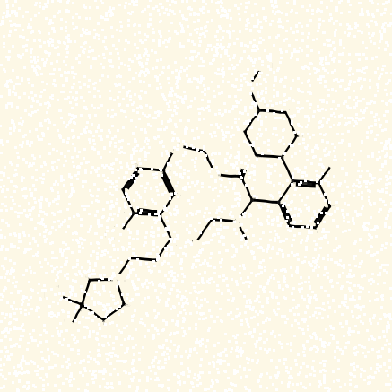 CCOC(=O)C(c1cccc(C)c1C1CCC(OC)CC1)N(C)CC[C@H](CCN1CCC(C)(C)C1)c1cc(Cl)ccc1C